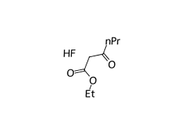 CCCC(=O)CC(=O)OCC.F